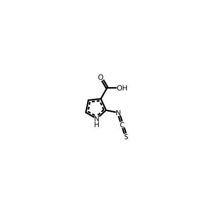 O=C(O)c1cc[nH]c1N=C=S